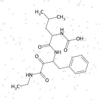 CCNC(=O)C(=O)C(Cc1ccccc1)NC(=O)C(CC(C)C)NC(=O)O